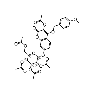 COc1ccc(COc2c(OC(C)=O)c(=O)oc3cc(O[C@H]4O[C@H](COC(C)=O)[C@@H](OC(C)=O)[C@H](OC(C)=O)[C@@H]4OC(C)=O)ccc23)cc1